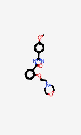 COc1ccc(-c2noc(-c3ccccc3OCCN3CCOCC3)n2)cc1